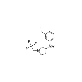 CCc1cccc(NC2CCN(CC(F)(F)F)C2)c1